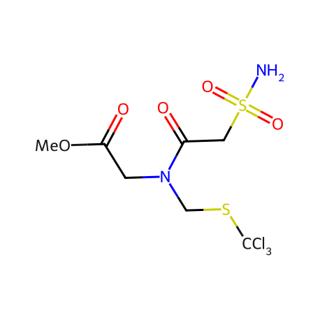 COC(=O)CN(CSC(Cl)(Cl)Cl)C(=O)CS(N)(=O)=O